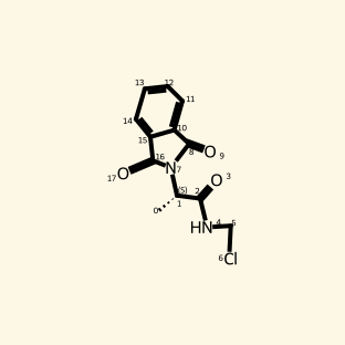 C[C@@H](C(=O)NCCl)N1C(=O)c2ccccc2C1=O